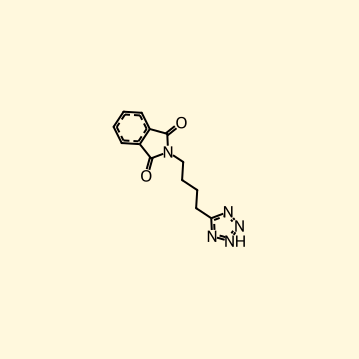 O=C1c2ccccc2C(=O)N1CCCCc1nn[nH]n1